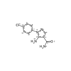 NC(=O)c1cnn(-c2ccc(Cl)cc2)c1N